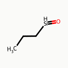 CCC[SiH]=O